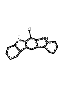 Clc1c2[nH]c3ccccc3c2cc2c1[nH]c1ccccc12